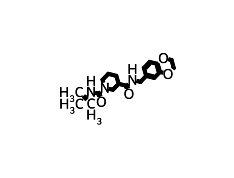 CC(C)(C)NC(=O)N1CCCC(C(=O)NCc2ccc3c(c2)OCCO3)C1